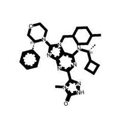 CC1CCC(Cn2c(N3CCOC[C@H]3c3ccccc3)nc3nc(-c4n[nH]c(=O)n4C)nc(N[C@H](C)C4CCC4)c32)CC1